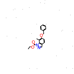 CCOC(=O)n1ncc2ccc(OCc3ccccc3)c(C)c21